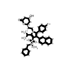 CC(C)c1c(S(=O)(=O)N(C)Cc2ccccc2)c(-c2ccc3ccccc3c2)c(-c2ccc(F)cc2)n1CC[C@@H]1C[C@@H](O)CC(=O)O1